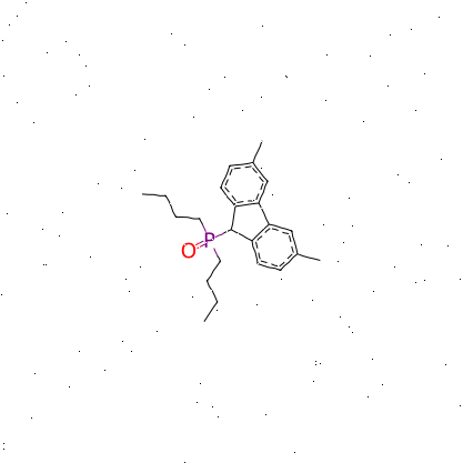 CCCCP(=O)(CCCC)C1c2ccc(C)cc2-c2cc(C)ccc21